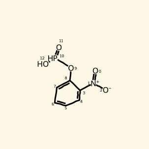 O=[N+]([O-])c1ccccc1O[PH](=O)O